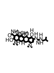 CC(C)CNC(=N)Nc1cc(N(C)C)c2c(c1O)C(=O)C1=C(O)[C@]3(O)C(=O)C(C(N)=O)=C(O)[C@H](N(C)C)[C@@H]3C[C@@H]1C2